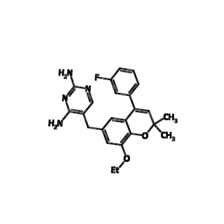 CCOc1cc(Cc2cnc(N)nc2N)cc2c1OC(C)(C)C=C2c1cccc(F)c1